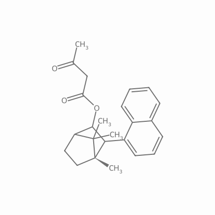 CC(=O)CC(=O)OC1C2CC[C@@](C)(C1c1cccc3ccccc13)C2(C)C